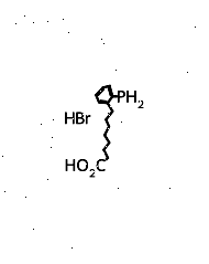 Br.O=C(O)CCCCCCCc1ccccc1P